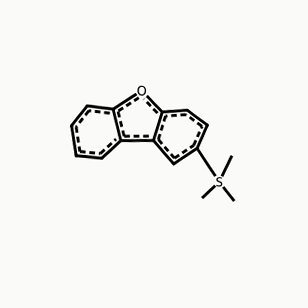 CS(C)(C)c1ccc2oc3ccccc3c2c1